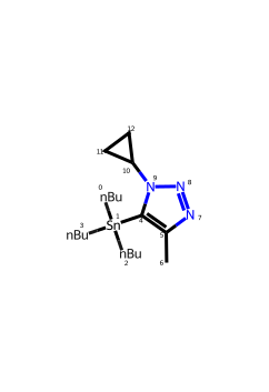 CCC[CH2][Sn]([CH2]CCC)([CH2]CCC)[c]1c(C)nnn1C1CC1